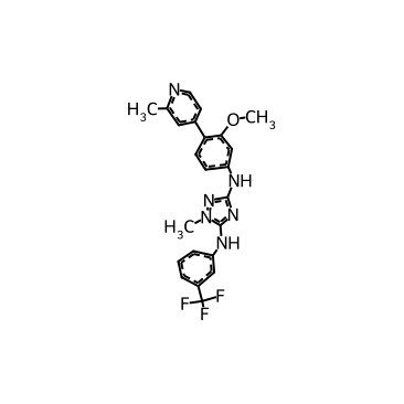 COc1cc(Nc2nc(Nc3cccc(C(F)(F)F)c3)n(C)n2)ccc1-c1ccnc(C)c1